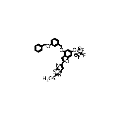 CSc1nn2cc(-c3cc4c(OCc5cccc(OCc6ccccc6)c5)cc(OS(=O)(=O)C(F)(F)F)cc4o3)nc2s1